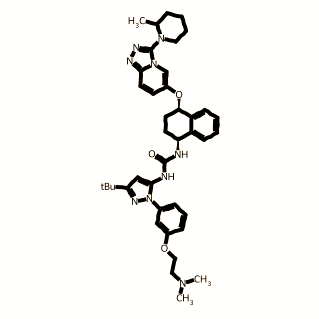 CC1CCCCN1c1nnc2ccc(O[C@@H]3CC[C@H](NC(=O)Nc4cc(C(C)(C)C)nn4-c4cccc(OCCN(C)C)c4)c4ccccc43)cn12